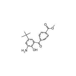 COC(=O)c1ccc(C(=O)c2cc(C(C)(C)C)cc(N)c2O)cc1